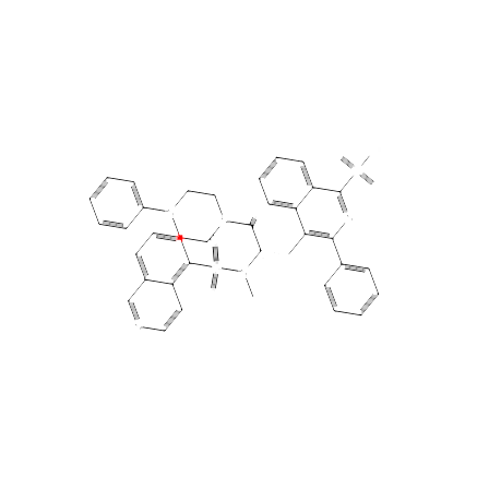 CN([C@@H](Cc1c(-c2ccccc2)nc(S(=O)(=O)O)c2ccccc12)C(=O)N1CCN(c2ccccc2)CC1)S(=O)(=O)c1cccc2cnccc12